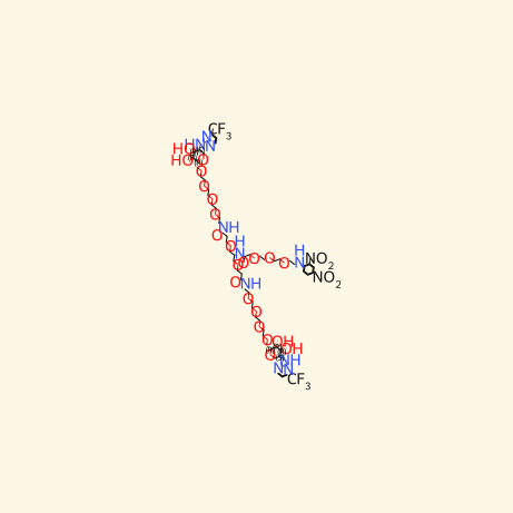 O=C(CCOCC(COCCC(=O)NCCOCCOCCOCCOC[C@H]1OC[C@H](Nc2nccc(C(F)(F)F)n2)[C@@H](O)[C@H]1O)NC(=O)COCCOCCOCCNc1ccc([N+](=O)[O-])cc1[N+](=O)[O-])NCCOCCOCCOCCOC[C@H]1OC[C@H](Nc2nccc(C(F)(F)F)n2)[C@@H](O)[C@H]1O